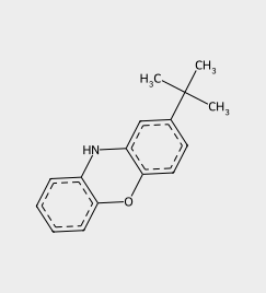 CC(C)(C)c1ccc2c(c1)Nc1ccccc1O2